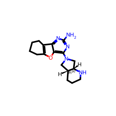 Nc1nc(N2C[C@H]3CCCN[C@H]3C2)c2oc3c(c2n1)CCCC3